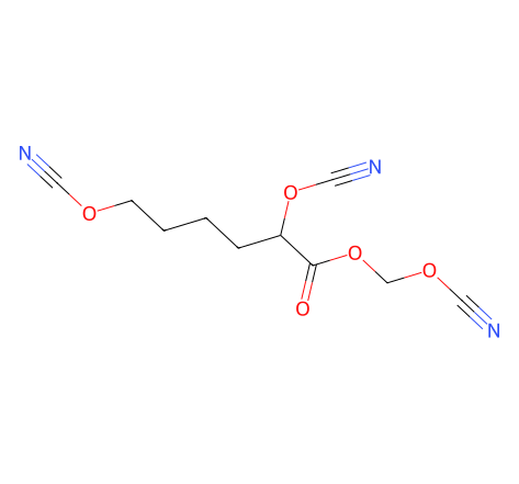 N#COCCCCC(OC#N)C(=O)OCOC#N